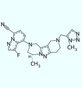 C[C@@H]1CN(c2ccc(C#N)n3ncc(F)c23)Cc2c3c(nn21)CCN(Cc1cnnn1C)C3